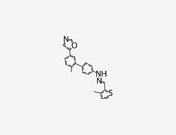 Cc1ccc(-c2cnco2)cc1-c1ccc(N/N=C/c2sccc2C)cc1